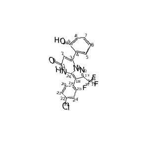 O=c1cc(-c2ccccc2O)n2nc(C(F)(F)F)c(-c3ccc(Cl)cc3)c2[nH]1